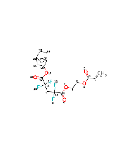 C=CC(=O)OCCOC(=O)C(F)(F)CC(F)(F)C(=O)OC1CC2CCC1C2